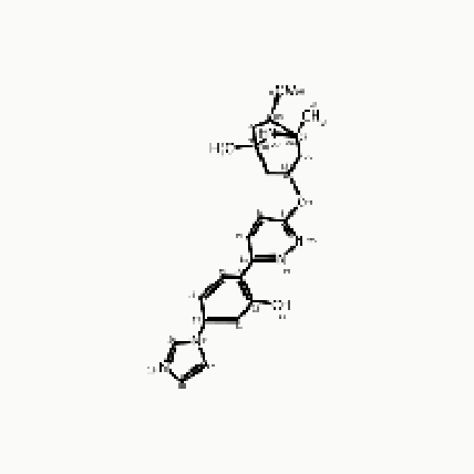 CO[C@@H]1C[C@@]2(C)C[C@H](Oc3ccc(-c4ccc(-n5ccnc5)cc4O)nn3)C[C@]1(C)N2